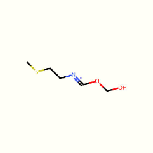 CSCC/N=C/OCO